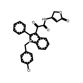 O=C1C=C(NC(=O)C(=O)c2c(-c3ccccc3)n(Cc3ccc(Cl)cc3)c3ccccc23)CO1